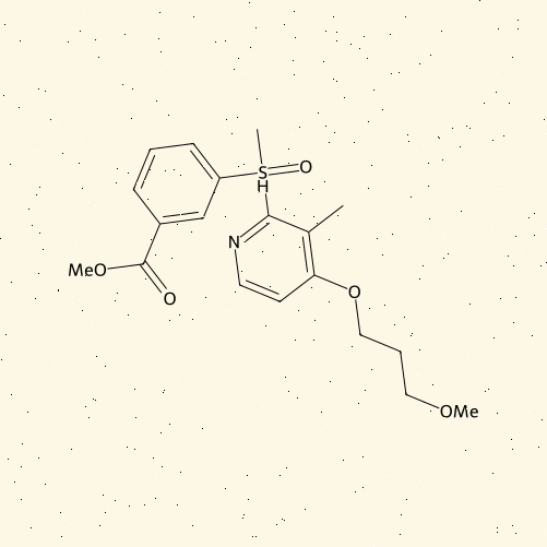 COCCCOc1ccnc([SH](C)(=O)c2cccc(C(=O)OC)c2)c1C